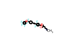 C/C=C/CCC1COC(c2cc(F)c(C#CC3CCC(C(F)(F)Oc4cc(F)c(F)c(F)c4)CC3)c(F)c2)OC1